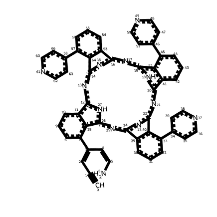 C#C/C=C(\C=C/N)c1cccc2c3nc4nc(nc5[nH]c(nc6nc(nc([nH]3)c12)-c1cccc(-c2ccncc2)c1-6)c1cccc(-c2ccncc2)c51)-c1cccc(-c2ccncc2)c1-4